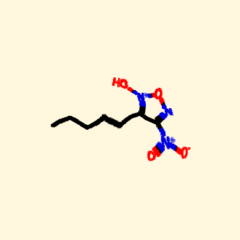 CCCCCc1c([N+](=O)[O-])no[n+]1O